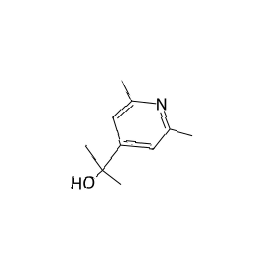 Cc1cc(C(C)(C)O)cc(C)n1